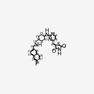 O=C1NC(=O)/C(=C/c2ccnc(N[C@H]3CC[C@H](CNCc4ccc5cc(F)ccc5c4)CC3)n2)S1